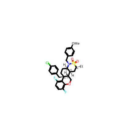 CC[C@@H]1C[C@@H]2[C@@H](CC[C@@]3(Cc4ccc(Cl)cc4)c4c(F)ccc(F)c4OC[C@@H]23)N(Cc2ccc(OC)cc2)S1(=O)=O